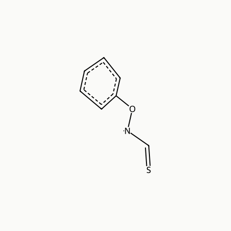 S=C[N]Oc1ccccc1